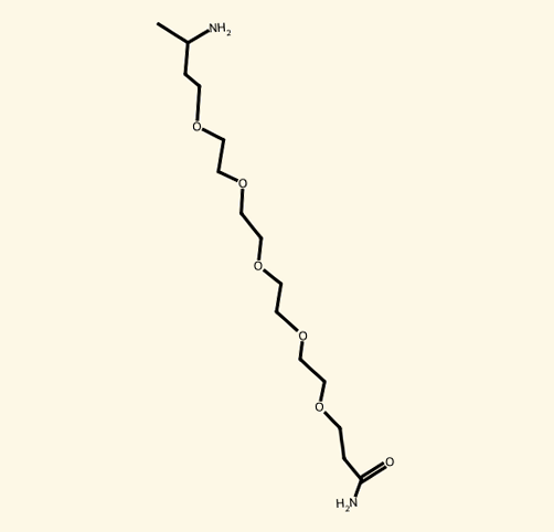 CC(N)CCOCCOCCOCCOCCOCCC(N)=O